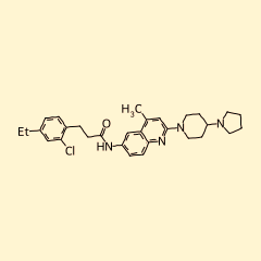 CCc1ccc(CCC(=O)Nc2ccc3nc(N4CCC(N5CCCC5)CC4)cc(C)c3c2)c(Cl)c1